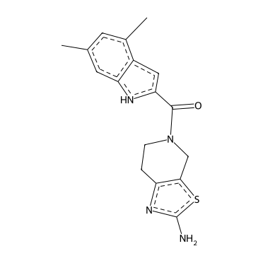 Cc1cc(C)c2cc(C(=O)N3CCc4nc(N)sc4C3)[nH]c2c1